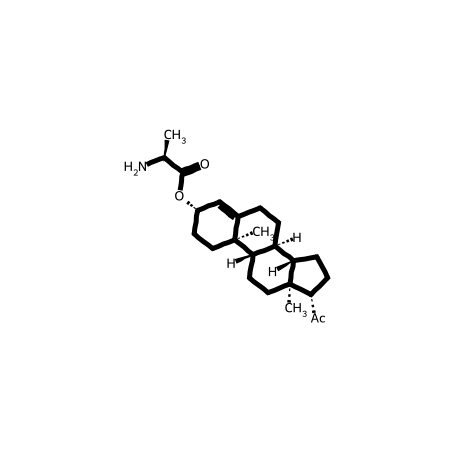 CC(=O)[C@H]1CC[C@H]2[C@@H]3CCC4=C[C@@H](OC(=O)[C@H](C)N)CC[C@]4(C)[C@H]3CC[C@]12C